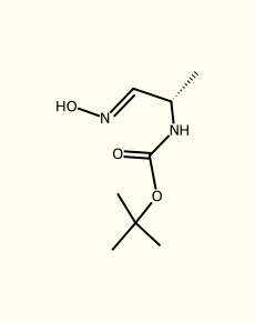 C[C@@H](C=NO)NC(=O)OC(C)(C)C